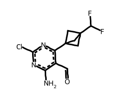 Nc1nc(Cl)nc(C23CC(C(F)F)(C2)C3)c1C=O